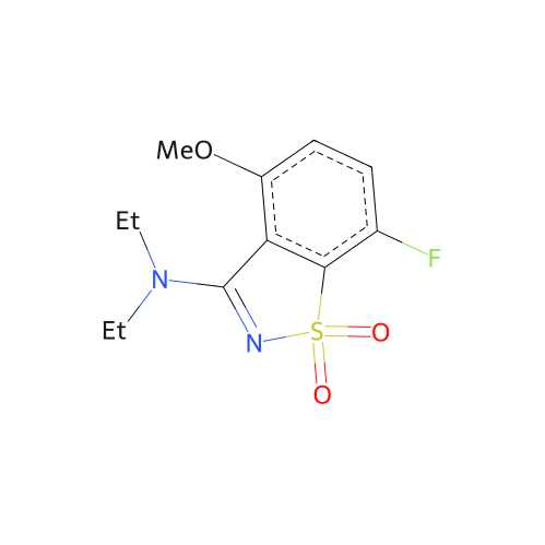 CCN(CC)C1=NS(=O)(=O)c2c(F)ccc(OC)c21